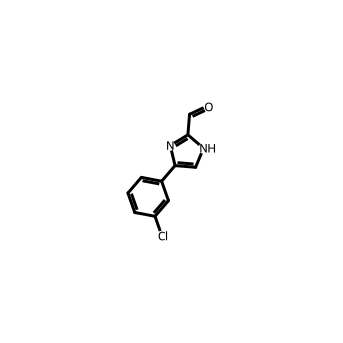 O=Cc1nc(-c2cccc(Cl)c2)c[nH]1